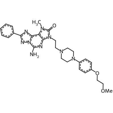 COCCOc1ccc(N2CCN(CCn3c(=O)n(C)c4c3nc(N)n3nc(-c5ccccc5)nc43)CC2)cc1